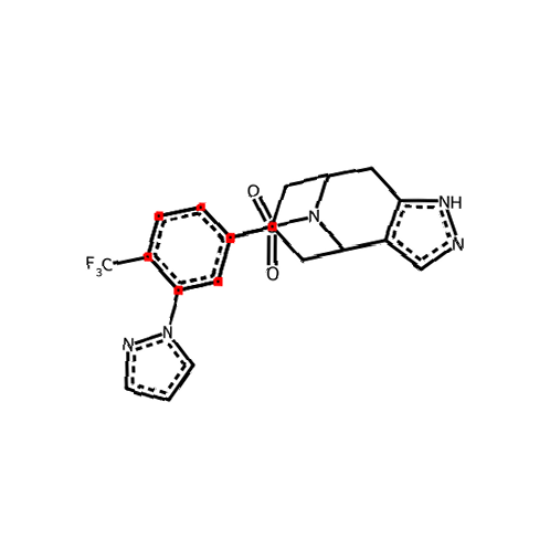 O=S(=O)(c1ccc(C(F)(F)F)cc1)N1C2Cc3[nH]ncc3C1CC(c1cccc(-n3cccn3)c1)C2